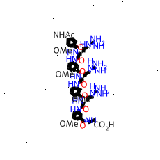 COc1ccc(NC(=O)[C@@H](CCCNC(=N)N)NC(=O)c2cc(NC(=O)[C@@H](CCCNC(=N)N)NC(=O)c3cc(NC(=O)[C@@H](CCCNC(=N)N)NC(=O)c4cc(NC(C)=O)ccc4OC)ccc3OC)ccc2OC)cc1C(=O)NCCC(=O)O